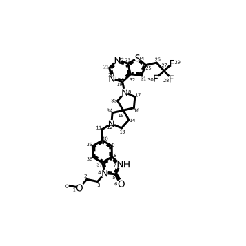 COCCn1c(=O)[nH]c2cc(CN3CCC4(CCN(c5ncnc6sc(CC(F)(F)F)cc56)C4)C3)ccc21